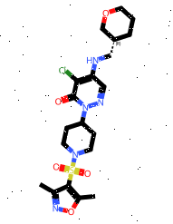 Cc1noc(C)c1S(=O)(=O)N1CCC(n2ncc(NC[C@H]3CCCOC3)c(Cl)c2=O)CC1